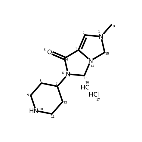 CN1C=C2C(=O)N(C3CCNCC3)CN2C1.Cl.Cl